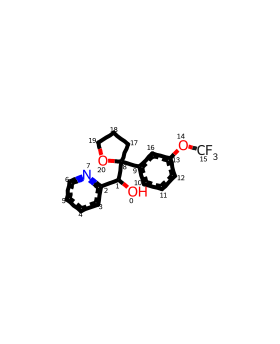 OC(c1ccccn1)C1(c2cccc(OC(F)(F)F)c2)CCCO1